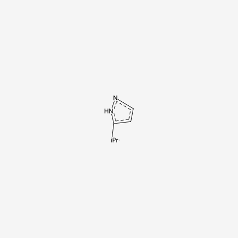 C[C](C)c1ccn[nH]1